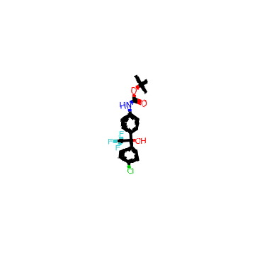 CC(C)(C)OC(=O)Nc1ccc(C(O)(c2ccc(Cl)cc2)C(F)(F)F)cc1